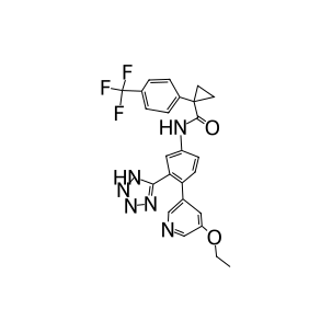 CCOc1cncc(-c2ccc(NC(=O)C3(c4ccc(C(F)(F)F)cc4)CC3)cc2-c2nnn[nH]2)c1